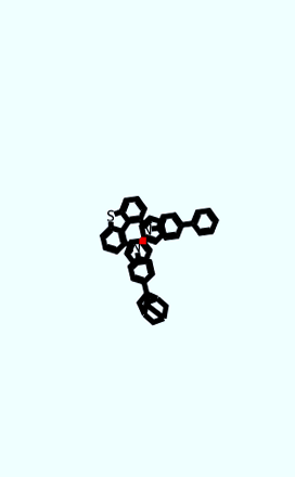 c1ccc(-c2ccc(N(c3ccccc3)c3cccc4sc5cccc(N(c6ccccc6)c6ccc(C78CC9CC(CC7C9)C8)cc6)c5c34)cc2)cc1